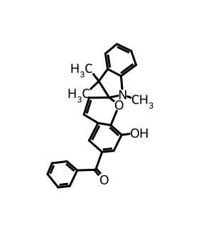 CN1c2ccccc2C(C)(C)C12C=Cc1cc(C(=O)c3ccccc3)cc(O)c1O2